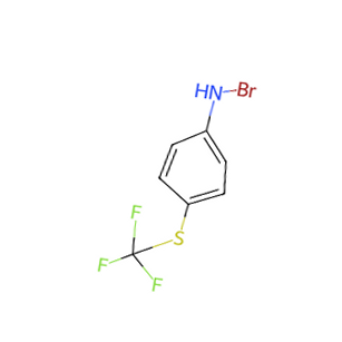 FC(F)(F)Sc1ccc(NBr)cc1